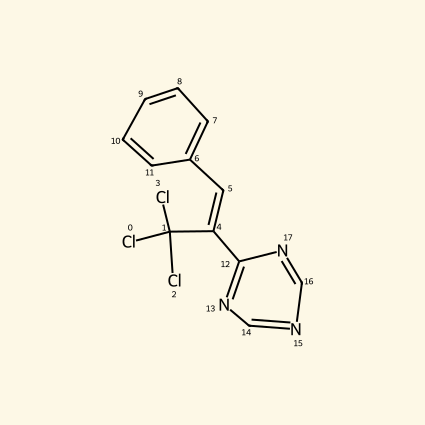 ClC(Cl)(Cl)C(=Cc1ccccc1)c1ncncn1